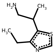 CCc1ncsc1C(C)CN